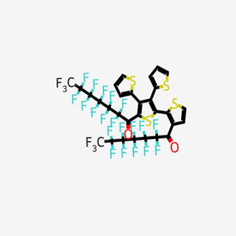 O=C(c1ccsc1-c1sc(C(=O)C(F)(F)C(F)(F)C(F)(F)C(F)(F)C(F)(F)C(F)(F)F)c(-c2cccs2)c1-c1cccs1)C(F)(F)C(F)(F)C(F)(F)C(F)(F)C(F)(F)C(F)(F)F